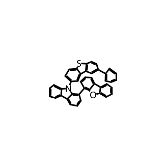 c1ccc(-c2ccc3sc4ccc(-n5c6ccccc6c6cccc(-c7cccc8c7oc7ccccc78)c65)cc4c3c2)cc1